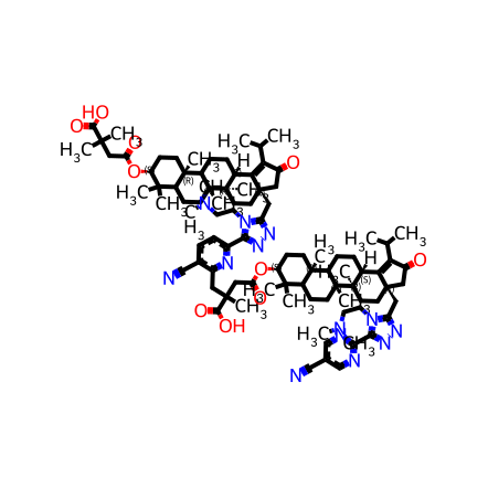 CC(C)C1=C2[C@H]3CCC4[C@@]5(C)CC[C@H](OC(=O)CC(C)(C)C(=O)O)C(C)(C)C5CC[C@@]4(C)[C@]3(C)CC[C@@]2(Cc2nnc(-c3ccc(C#N)c(CC(C)(CC(=O)O[C@H]4CC[C@@]5(C)C(CC[C@]6(C)C5CC[C@@H]5C7=C(C(C)C)C(=O)C[C@]7(Cc7nnc(-c8ncc(C#N)cn8)n7CCN(C)C)CC[C@]56C)C4(C)C)C(=O)O)n3)n2CCN(C)C)CC1=O